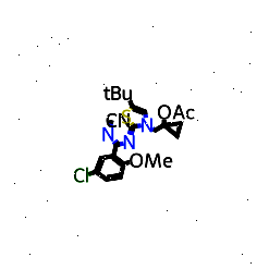 COc1ccc(Cl)cc1C(=N/C#N)/N=c1\sc(C(C)(C)C)cn1CC1(OC(C)=O)CC1